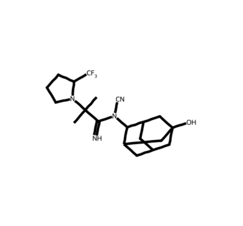 CC(C)(C(=N)N(C#N)C1C2CC3CC1CC(O)(C3)C2)N1CCCC1C(F)(F)F